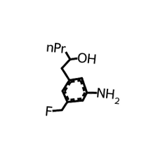 CCCC(O)Cc1cc(N)cc(CF)c1